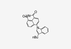 CCCCc1cn(-c2ccc3c4c(cccc24)C(=O)NC3=O)c2ccccc12